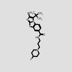 CC(C)(C)c1c(Br)nc2sc3cc(C(=O)NCCCN4CCC(F)CC4)ccc3n12